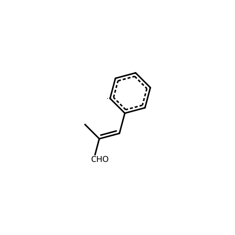 CC(C=O)=Cc1[c]cccc1